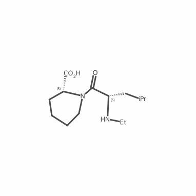 CCN[C@@H](CC(C)C)C(=O)N1CCCC[C@@H]1C(=O)O